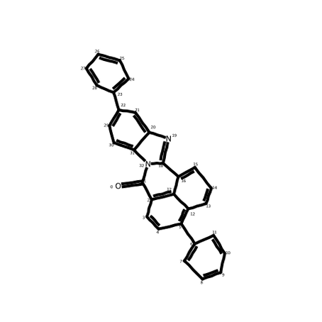 O=c1c2ccc(-c3ccccc3)c3cccc(c32)c2nc3cc(-c4ccccc4)ccc3n12